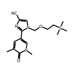 Cc1cc(-c2nc(C#N)cn2COCCS(C)(C)C)cn(C)c1=O